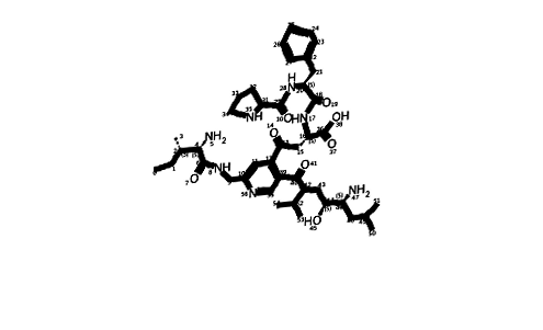 CC[C@H](C)[C@H](N)C(=O)NCc1cc(C(=O)C[C@H](NC(=O)[C@H](Cc2ccccc2)NC(=O)C2CCCN2)C(=O)O)c(C(=O)C(C[C@H](O)[C@@H](N)CC(C)C)C(C)C)cn1